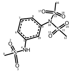 CS(=O)(=O)Nc1cccc(N(S(C)(=O)=O)S(C)(=O)=O)c1